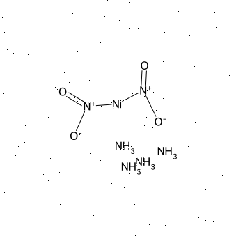 N.N.N.N.O=[N+]([O-])[Ni][N+](=O)[O-]